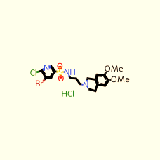 COc1cc2c(cc1OC)CN(CCCNS(=O)(=O)c1cnc(Cl)c(Br)c1)CC2.Cl